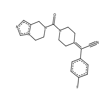 N#CC(=C1CCN(C(=O)N2CCn3cncc3C2)CC1)c1ccc(F)cc1